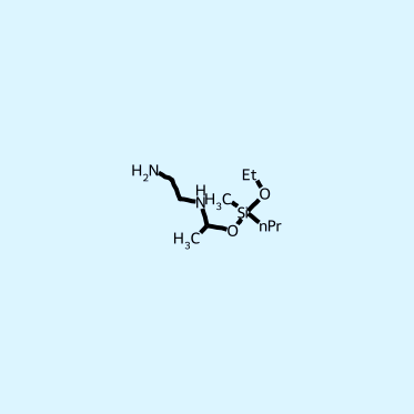 CCC[Si](C)(OCC)OC(C)NCCN